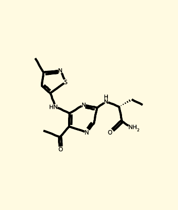 CC[C@@H](Nc1cnc(C(C)=O)c(Nc2cc(C)ns2)n1)C(N)=O